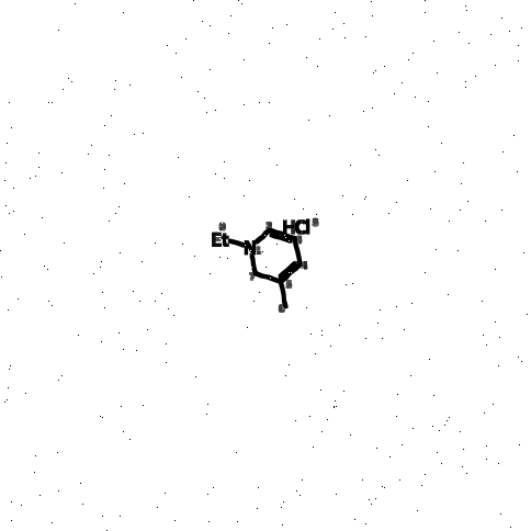 CCN1C=CC=C(C)C1.Cl